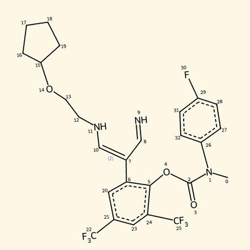 CN(C(=O)Oc1c(/C(C=N)=C/NCCOC2CCCC2)cc(C(F)(F)F)cc1C(F)(F)F)c1ccc(F)cc1